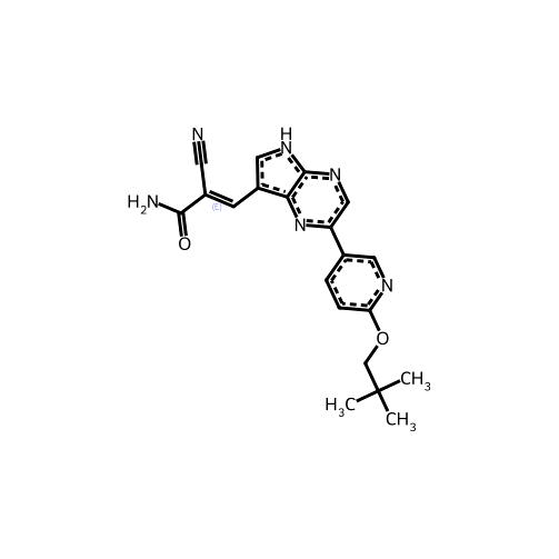 CC(C)(C)COc1ccc(-c2cnc3[nH]cc(/C=C(\C#N)C(N)=O)c3n2)cn1